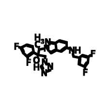 C[C@@H](n1cc2cc(NCc3cc(F)cc(F)c3)ccc2n1)[C@](O)(Cn1cncn1)c1ccc(F)cc1F